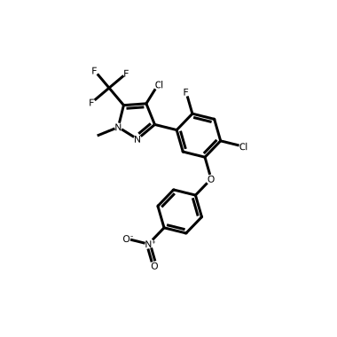 Cn1nc(-c2cc(Oc3ccc([N+](=O)[O-])cc3)c(Cl)cc2F)c(Cl)c1C(F)(F)F